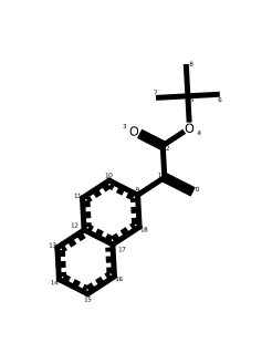 C=C(C(=O)OC(C)(C)C)c1ccc2ccccc2c1